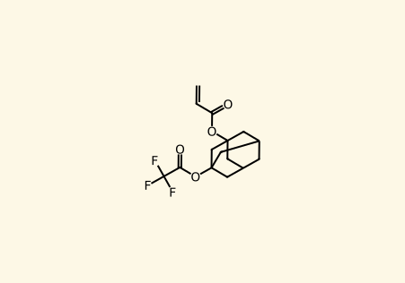 C=CC(=O)OC12CC3CC(C1)CC(OC(=O)C(F)(F)F)(C3)C2